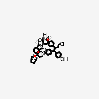 O=C1CCC(N2C(=O)c3ccc(N4CC5CCC(C4)N5CC4CCN(c5ccc(C(=C(CCCl)c6ccc(O)cc6)c6ccc(O)cc6)cc5)CC4)cc3C2=O)C(=O)N1